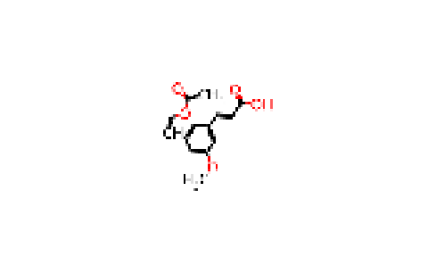 C=COC(C)=O.COc1cccc(C=CC(=O)O)c1